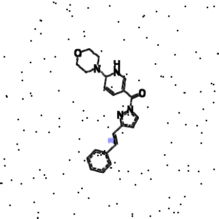 O=C(C1=CNC(N2CCOCC2)C=C1)n1ccc(/C=C/c2ccccc2)n1